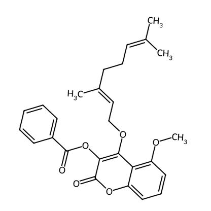 COc1cccc2oc(=O)c(OC(=O)c3ccccc3)c(OC/C=C(\C)CCC=C(C)C)c12